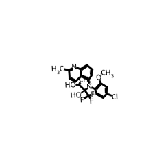 COc1cc(Cl)ccc1N(c1cccc2nc(C)ccc12)[C@@](O)(C(C)O)C(F)(F)F